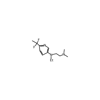 CCN(CCN(C)C)c1ccc(C(C)(F)F)nc1